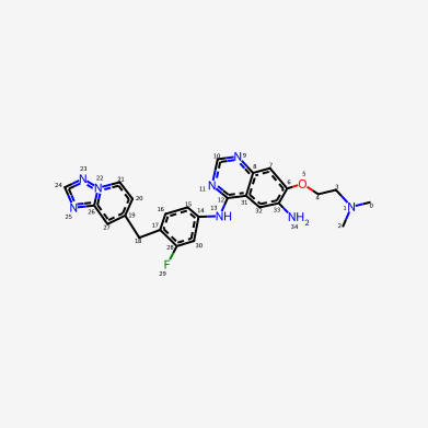 CN(C)CCOc1cc2ncnc(Nc3ccc(Cc4ccn5ncnc5c4)c(F)c3)c2cc1N